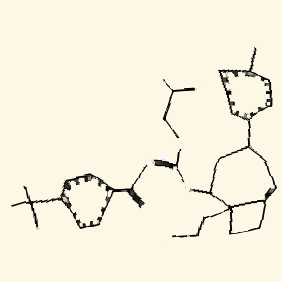 CCCC12CCC1=CCC(c1ccc(Cl)cc1)CC2N/C(=N\C(=O)c1ccc(C(F)(F)F)cc1)NCC(C)C